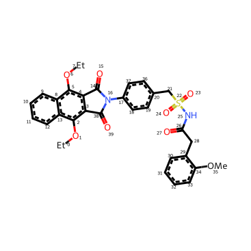 CCOc1c2c(c(OCC)c3ccccc13)C(=O)N(c1ccc(CS(=O)(=O)NC(=O)Cc3ccccc3OC)cc1)C2=O